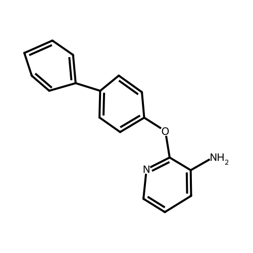 Nc1cccnc1Oc1ccc(-c2ccccc2)cc1